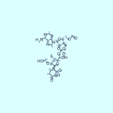 Nc1ncnc2c1ncn2[C@@H]1O[C@H](COP=O)[C@@H](F)[C@H]1OP(=O)(OO)OC[C@H]1O[C@@H](n2ccc(=O)[nH]c2=O)[C@H](OCO)[C@@H]1F